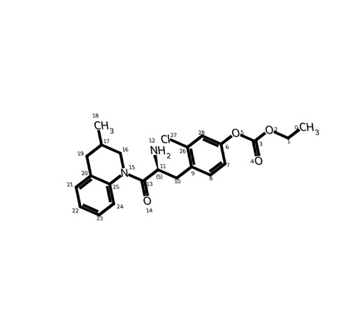 CCOC(=O)Oc1ccc(C[C@H](N)C(=O)N2CC(C)Cc3ccccc32)c(Cl)c1